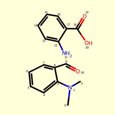 CN(C)c1ccccc1C=O.Nc1ccccc1C(=O)O